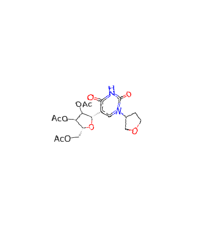 CC(=O)OC[C@H]1O[C@@H](c2cn(C3CCOC3)c(=O)[nH]c2=O)C(OC(C)=O)C1OC(C)=O